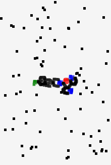 N#CC1(Cc2ccc(F)cc2)CCN(C(=O)c2cccnc2-c2cccnc2)CC1